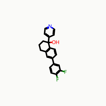 OC1(c2ccncc2)CCCc2cc(-c3ccc(F)c(F)c3)ccc21